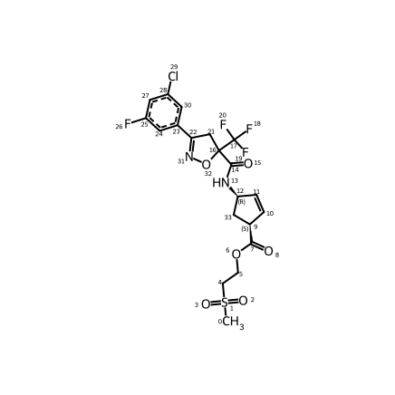 CS(=O)(=O)CCOC(=O)[C@@H]1C=C[C@H](NC(=O)C2(C(F)(F)F)CC(c3cc(F)cc(Cl)c3)=NO2)C1